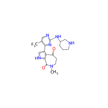 CN1CCC(=O)c2c(-c3nc(NC4CCCNC4)ncc3C(F)(F)F)c[nH]c2C1=O